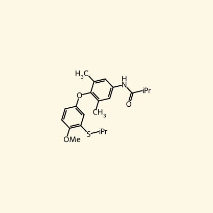 COc1ccc(Oc2c(C)cc(NC(=O)C(C)C)cc2C)cc1SC(C)C